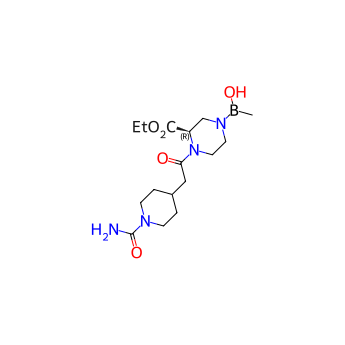 CCOC(=O)[C@H]1CN(B(C)O)CCN1C(=O)CC1CCN(C(N)=O)CC1